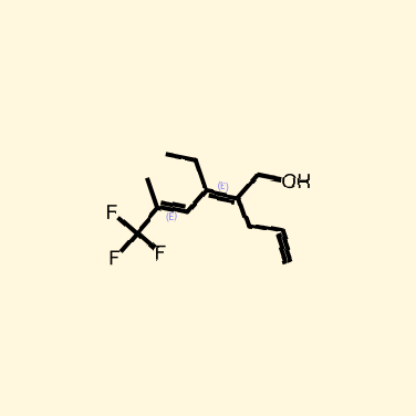 C=CC/C(CO)=C(\C=C(/C)C(F)(F)F)CC